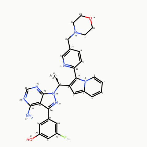 C[C@@H](c1cc2ccccn2c1-c1ccc(CN2CCOCC2)cn1)n1nc(-c2cc(O)cc(F)c2)c2c(N)ncnc21